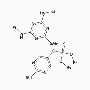 CCNc1nc(NCC)nc(SC)n1.CCOP(=S)(Oc1cnc(C(C)(C)C)nc1)OC(C)C